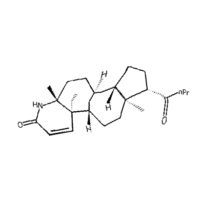 CCCC(=O)[C@H]1CC[C@H]2[C@@H]3CC[C@@]4(C)NC(=O)C=C[C@]4(C)[C@H]3CC[C@]12C